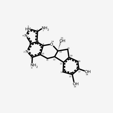 Nc1nc2n[nH]c(N)c2c2c1CC1c3cc(O)c(O)cc3C[C@]1(O)O2